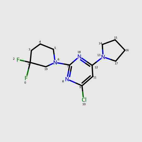 FC1(F)CCCN(c2nc(Cl)cc(N3CCCC3)n2)C1